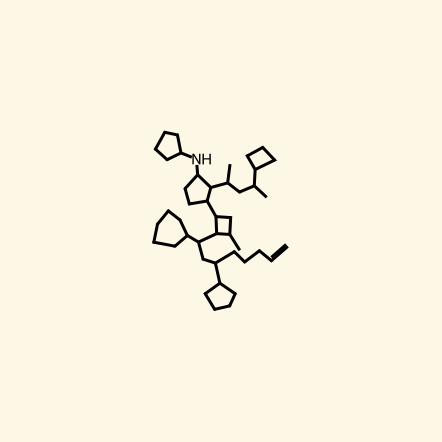 C=CCCCC(CC(C1CCCCC1)C1C(C)CC1C1CCC(NC2CCCC2)C1C(C)CC(C)C1CCC1)C1CCCC1